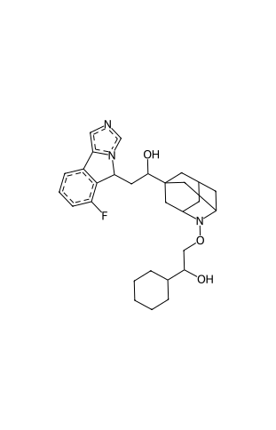 OC(CON1C2CC3CC1CC(C(O)CC1c4c(F)cccc4-c4cncn41)(C3)C2)C1CCCCC1